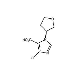 O=C(O)c1c(Cl)ncn1[C@H]1CCOC1